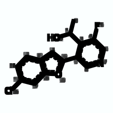 CC(O)c1c(F)cncc1-c1cc2ccc(Cl)cc2o1